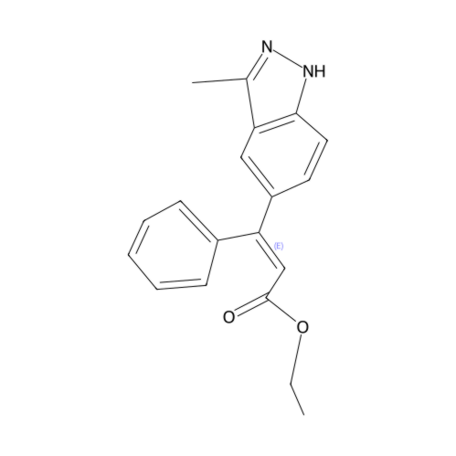 CCOC(=O)/C=C(\c1ccccc1)c1ccc2[nH]nc(C)c2c1